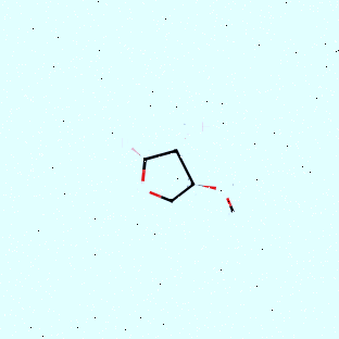 B[C@@H]1OC[C@H](OC)[C@H]1O